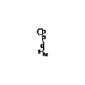 CC(=O)C(=S)COCCOC1CCCCO1